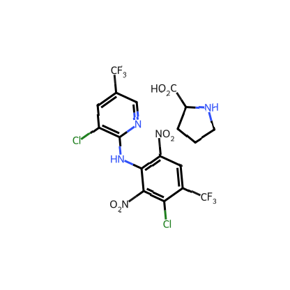 O=C(O)C1CCCN1.O=[N+]([O-])c1cc(C(F)(F)F)c(Cl)c([N+](=O)[O-])c1Nc1ncc(C(F)(F)F)cc1Cl